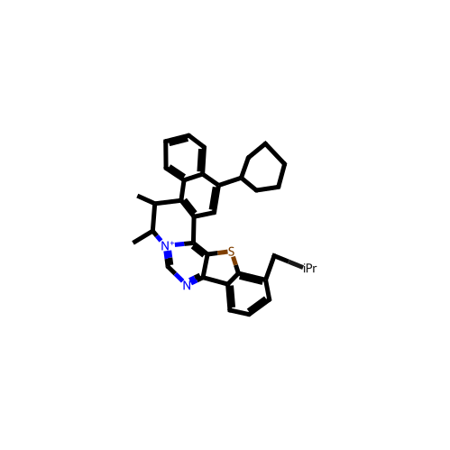 CC(C)Cc1cccc2c1sc1c3[n+](cnc12)C(C)C(C)c1c-3cc(C2CCCCC2)c2ccccc12